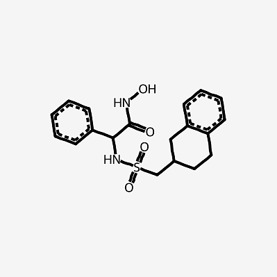 O=C(NO)C(NS(=O)(=O)CC1CCc2ccccc2C1)c1ccccc1